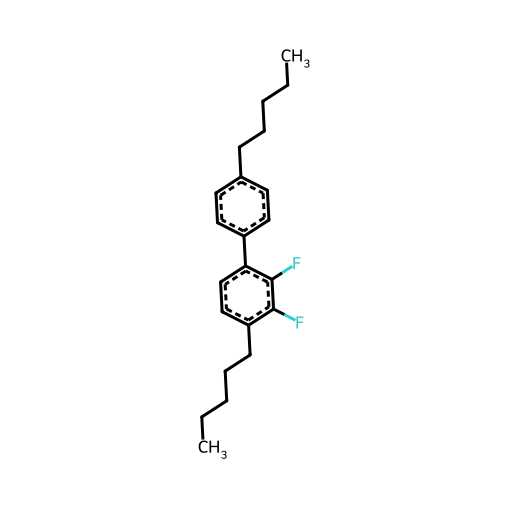 CCCCCc1ccc(-c2ccc(CCCCC)c(F)c2F)cc1